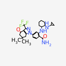 CC1(C)CC(=O)c2c(C(F)(F)F)nn(-c3ccc(C(N)=O)c(NC4CCCCC4NC4CC4)c3)c2C1